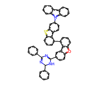 c1ccc(C2=NC(c3ccccc3)NC(c3ccc4oc5cccc(-c6cccc7sc8cc(-n9c%10ccccc%10c%10ccccc%109)ccc8c67)c5c4c3)=N2)cc1